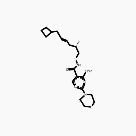 COc1nc(N2CCOCC2)ncc1C(=O)NSC[C@@H](C)C/C=C/CC1CCC1